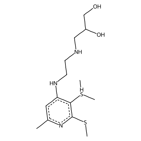 CSc1nc(C)cc(NCCNCC(O)CO)c1[SH](C)C